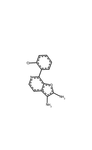 Nc1oc2c(-c3ccccc3Cl)nccc2c1N